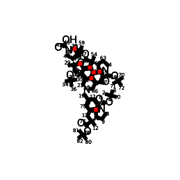 CC(C)(C)OC(=O)N1CC[C@H](C(C)(Cc2cccc(CN(Cc3cccc(CC(C)(C(=O)OC(C)(C)C)[C@H]4CCN(C(=O)O)C4)c3)Cc3cccc(CC(C)(C(=O)OC(C)(C)C)[C@H]4CCN(C(=O)OC(C)(C)C)C4)c3)c2)C(=O)OC(C)(C)C)C1